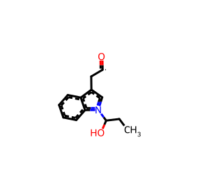 CCC(O)n1cc(C[C]=O)c2ccccc21